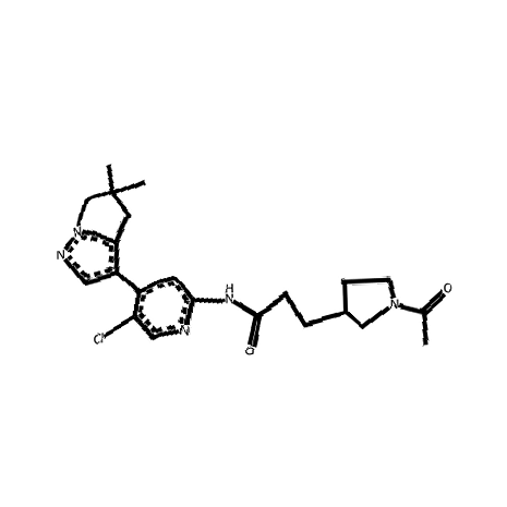 CC(=O)N1CCC(CCC(=O)Nc2cc(-c3cnn4c3CC(C)(C)C4)c(Cl)cn2)C1